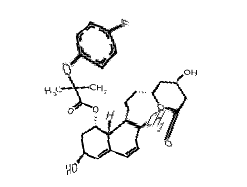 C[C@H]1C=CC2=C[C@@H](O)C[C@H](OC(=O)C(C)(C)Oc3ccc(F)cc3)[C@@H]2[C@H]1CC[C@@H]1C[C@@H](O)CC(=O)O1